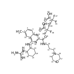 Cc1ccc2nc(C(=O)NCCCN3CCOCC3)nc(NC3CCCCC3NC(=N)N)c2c1.O=C(O)C(F)(F)F.O=C(O)C(F)(F)F